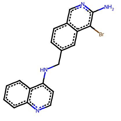 Nc1ncc2ccc(CNc3ccnc4ccccc34)cc2c1Br